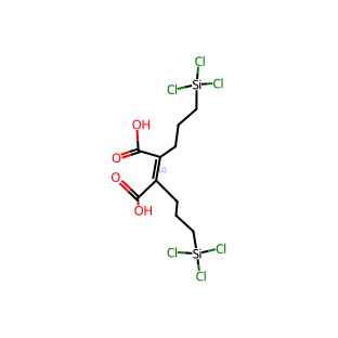 O=C(O)/C(CCC[Si](Cl)(Cl)Cl)=C(/CCC[Si](Cl)(Cl)Cl)C(=O)O